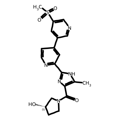 Cc1[nH]c(-c2cc(-c3cncc(S(C)(=O)=O)c3)ccn2)nc1C(=O)N1CC[C@H](O)C1